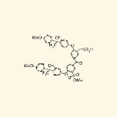 COc1ccc(C(C)(c2ccc(Oc3ccc(C(=O)c4ccc(Oc5ccc(C(C)(c6ccc(OC)cc6)C(F)(F)F)cc5)c(S(=O)(=O)OC)c4)cc3CS(=O)(=O)O)cc2)C(F)(F)F)cc1